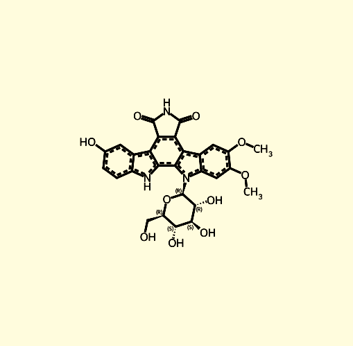 COc1cc2c3c4c(c5c6cc(O)ccc6[nH]c5c3n([C@@H]3O[C@H](CO)[C@@H](O)[C@H](O)[C@H]3O)c2cc1OC)C(=O)NC4=O